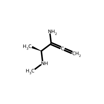 C=C=C(N)[C@H](C)NC